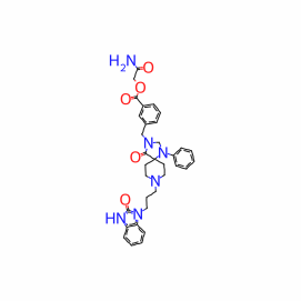 NC(=O)COC(=O)c1cccc(CN2CN(c3ccccc3)C3(CCN(CCCn4c(=O)[nH]c5ccccc54)CC3)C2=O)c1